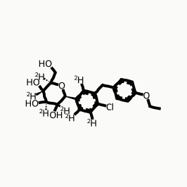 [2H]c1c([2H])c([C@@H]2O[C@]([2H])(CO)[C@@]([2H])(O)[C@]([2H])(O)[C@@]2([2H])O)c([2H])c(Cc2ccc(OCC)cc2)c1Cl